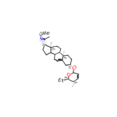 CC[C@H]1OC(O[C@H]2CC[C@@]3(C)C(=CCC4C3CC[C@@]3(C)C4CC[C@@H]3/C(C)=N/OC)C2)C=C[C@@H]1C